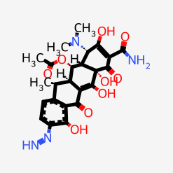 CC(=O)O[C@H]1[C@H]2C(=C(O)[C@]3(O)C(=O)C(C(N)=O)=C(O)[C@@H](N(C)C)[C@H]13)C(=O)c1c(ccc(N=N)c1O)[C@@H]2C